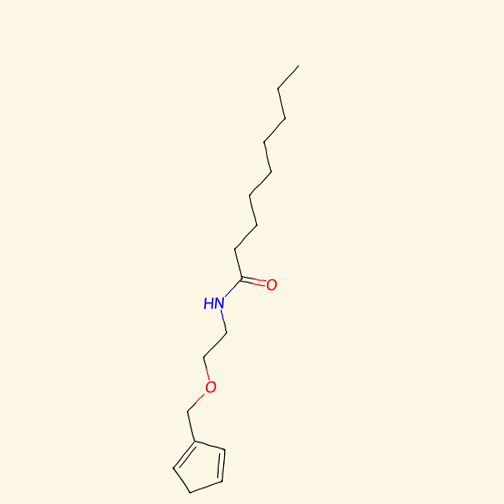 CCCCCCCCC(=O)NCCOCC1=CCC=C1